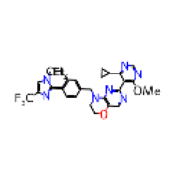 CCc1cc(CN2CCOc3cnc(-c4c(OC)ncnc4C4CC4)nc32)ccc1-c1nc(C(F)(F)F)cn1C